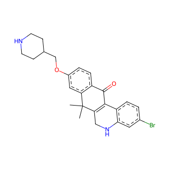 CC1(C)C2=C(C(=O)c3ccc(OCC4CCNCC4)cc31)c1ccc(Br)cc1NC2